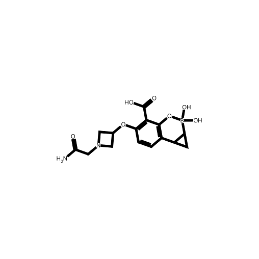 NC(=O)CN1CC(Oc2ccc3c(c2C(=O)O)O[B-](O)(O)C2CC32)C1